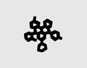 Cc1ccc(N2c3ccccc3B3c4cc(C)ccc4N(c4ccccc4C)c4cc(C5CCCCC5)cc2c43)cc1